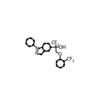 OC(COc1ccccc1C(F)(F)F)(c1ccc2c(cnn2-c2ccccc2)c1)C(F)(F)F